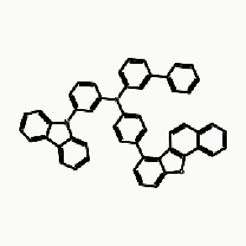 c1ccc(-c2cccc(N(c3ccc(-c4cccc5oc6c7ccccc7ccc6c45)cc3)c3cccc(-n4c5ccccc5c5ccccc54)c3)c2)cc1